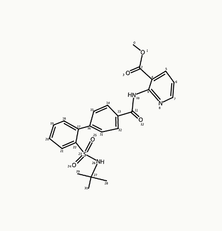 COC(=O)c1cccnc1NC(=O)c1ccc(-c2ccccc2S(=O)(=O)NC(C)(C)C)cc1